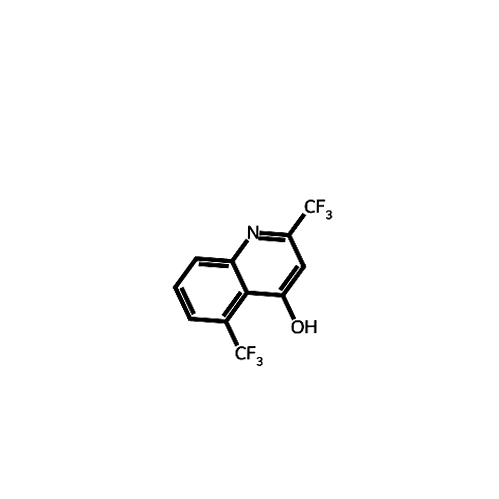 Oc1cc(C(F)(F)F)nc2cccc(C(F)(F)F)c12